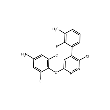 Cc1cccc(-c2cc(Oc3c(Cl)cc(N)cc3Cl)nnc2Cl)c1F